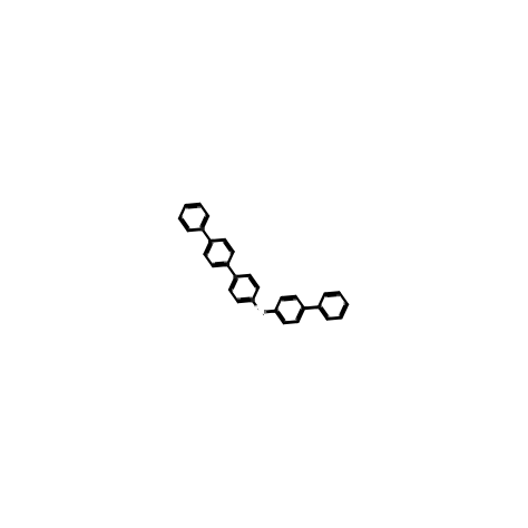 c1ccc(-c2ccc(Nc3ccc(-c4ccc(-c5ccccc5)cc4)cc3)cc2)cc1